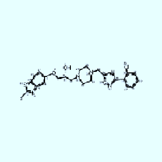 Cc1nc2cc(OC[C@H](O)CN3CCN(Cc4cc(-c5ccccc5Cl)no4)CC3)ccc2s1